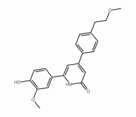 COCCc1ccc(-c2cc(-c3ccc(O)c(OC)c3)[nH]c(=O)c2)cc1